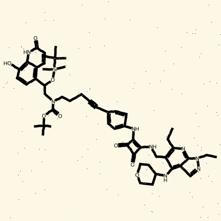 CCc1nc2c(cnn2CC)c(NC2CCOCC2)c1CNc1c(Nc2ccc(C#CCCCN(CC(O[Si](C)(C)C(C)(C)C)c3ccc(O)c4[nH]c(=O)ccc34)C(=O)OC(C)(C)C)cc2)c(=O)c1=O